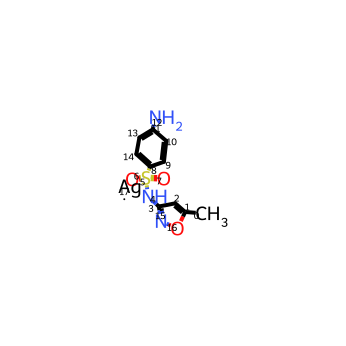 Cc1cc(NS(=O)(=O)c2ccc(N)cc2)no1.[Ag]